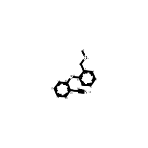 COCc1ccccc1Sc1ccccc1C#N